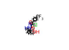 O=C(N[C@@H]1[C@H](CO)[C@H]2C=C[C@@H]1C2)c1noc(-c2ccc(C(F)(F)F)cc2)c1Cl